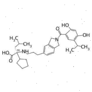 CC(C)C[C@@](NCCCc1ccc2c(c1)CN(C(=O)c1cc(C(C)C)c(O)cc1O)C2)(C(=O)O)C1CCCC1